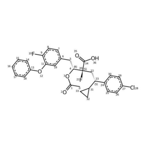 CC(=O)O[C@H](Cc1ccc(F)c(Oc2ccccc2)c1)[C@@](F)(C[C@H](c1ccc(Cl)cc1)C1CC1)C(=O)O